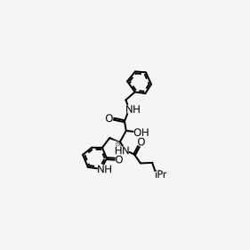 CC(C)CCC(=O)N[C@@H](Cc1ccc[nH]c1=O)C(O)C(=O)NCc1ccccc1